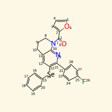 O=C(c1ccco1)N1CCCc2cc([Se]c3ccccc3)c(-c3ccc(F)cc3)nc21